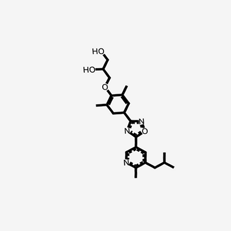 CC1=CC(c2noc(-c3cnc(C)c(CC(C)C)c3)n2)CC(C)=C1OCC(O)CO